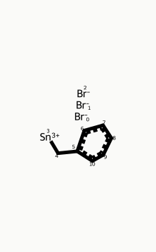 [Br-].[Br-].[Br-].[Sn+3][CH2]c1ccccc1